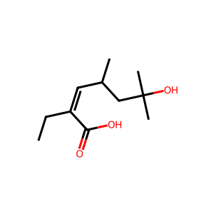 CCC(=CC(C)CC(C)(C)O)C(=O)O